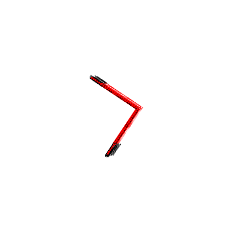 [Cr+3].[Cr+3].[Cr+3].[Cr+3].[Cr+3].[Cr+3].[Cr+3].[Cr+3].[Cr+3].[Cr+3].[Cr+3].[Cr+3].[Cr+3].[Cr+3].[Cr+3].[Cr+3].[Cr+3].[Cr+3].[Cr+3].[Cr+3].[Cr+3].[Cr+3].[Cr+3].[Cr+3].[Cr+3].[O-2].[O-2].[O-2].[O-2].[O-2].[O-2].[O-2].[O-2].[O-2].[O-2].[O-2].[O-2].[O-2].[O-2].[O-2].[O-2].[O-2].[O-2].[O-2].[O-2].[O-2].[O-2].[O-2].[O-2].[O-2].[O-2].[O-2].[O-2].[O-2].[O-2].[O-2].[O-2].[O-2].[O-2].[O-2].[O-2].[O-2].[O-2].[O-2].[O-2].[O-2].[O-2].[O-2].[O-2].[O-2].[O-2].[O-2].[O-2].[O-2].[O-2].[O-2].[O-2].[O-2].[O-2].[O-2].[O-2].[O-2].[O-2].[O-2].[O-2].[O-2].[O-2].[O-2].[O-2].[O-2].[O-2].[O-2].[O-2].[O-2].[O-2].[O-2].[O-2].[O-2].[O-2].[O-2].[O-2].[O-2].[O-2].[O-2].[O-2]